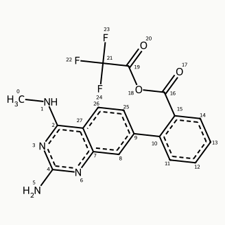 CNc1nc(N)nc2cc(-c3ccccc3C(=O)OC(=O)C(F)(F)F)ccc12